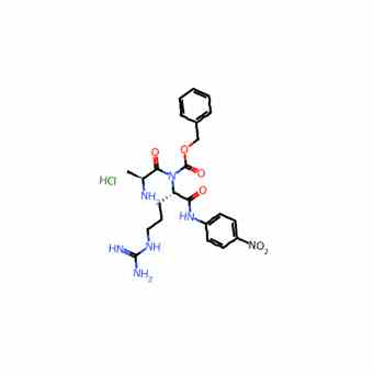 C[C@H](N)C(=O)N(C(=O)OCc1ccccc1)[C@@H](CCCNC(=N)N)C(=O)Nc1ccc([N+](=O)[O-])cc1.Cl